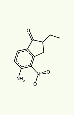 CCC1Cc2c(ccc(N)c2[N+](=O)[O-])C1=O